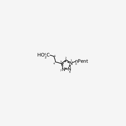 C[CH]CCCn1cc(CCC(=O)O)nn1